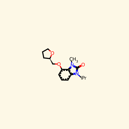 CC(C)n1c(=O)n(C)c2c(OC[C@H]3CCCO3)cccc21